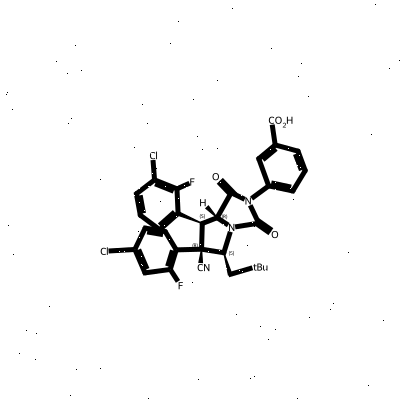 CC(C)(C)C[C@@H]1N2C(=O)N(c3cccc(C(=O)O)c3)C(=O)[C@H]2[C@H](c2cccc(Cl)c2F)[C@@]1(C#N)c1ccc(Cl)cc1F